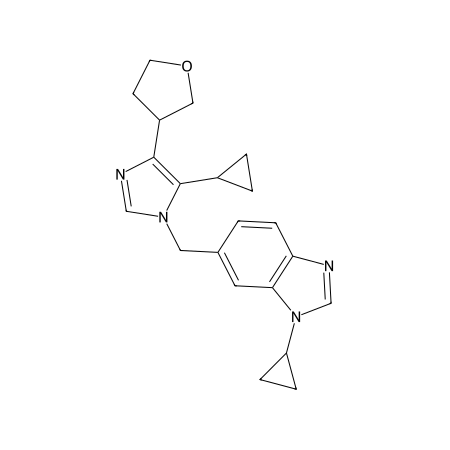 c1cc2ncn(C3CC3)c2cc1Cn1cnc(C2CCOC2)c1C1CC1